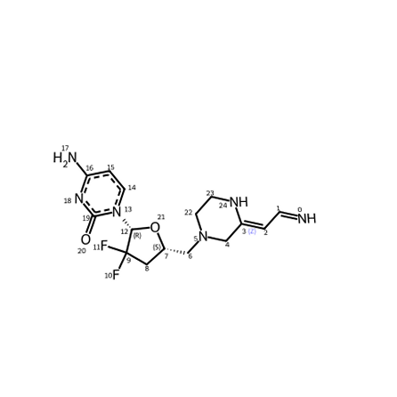 N=C/C=C1/CN(C[C@@H]2CC(F)(F)[C@H](n3ccc(N)nc3=O)O2)CCN1